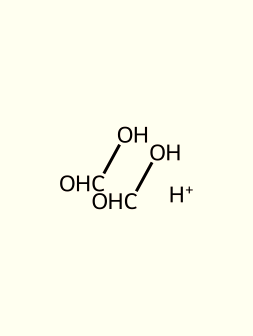 O=CO.O=[C-]O.[H+]